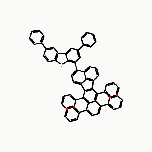 c1ccc(-c2ccc3sc4c(-c5ccc6c7c(cccc57)-c5c-6c(-c6ccccc6)c6c(-c7ccccc7)ccc(-c7ccccc7)c6c5-c5ccccc5)cc(-c5ccccc5)cc4c3c2)cc1